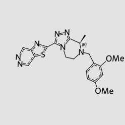 COc1ccc(CN2CCn3c(-c4nc5cnncc5s4)nnc3[C@H]2C)c(OC)c1